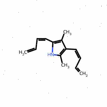 C=C/C=C\c1[nH]c(C)c(/C=C\C=C)c1C